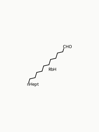 CCCCCCCCCCCCCCCCCC=O.[RbH]